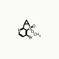 C.O=S1(=O)c2c(Br)ccnc2C2CC21